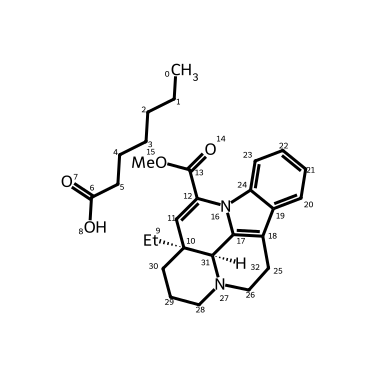 CCCCCCC(=O)O.CC[C@@]12C=C(C(=O)OC)n3c4c(c5ccccc53)CCN(CCC1)[C@H]42